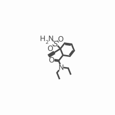 C#CC1(S(N)(=O)=O)C=CC=CC1C(=O)N(CC)CC